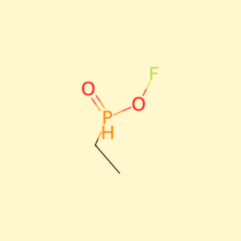 CC[PH](=O)OF